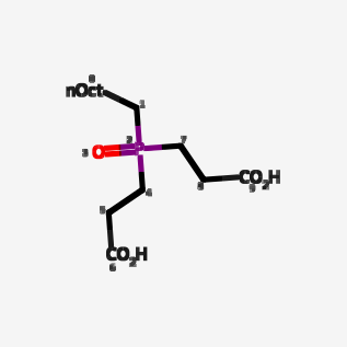 CCCCCCCCCP(=O)(CCC(=O)O)CCC(=O)O